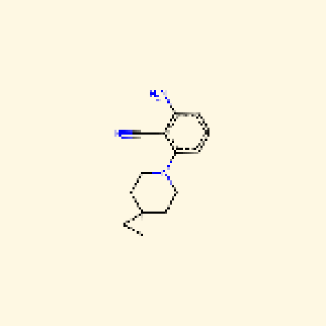 N#Cc1c(N)cccc1N1CCC2(CC1)CC2